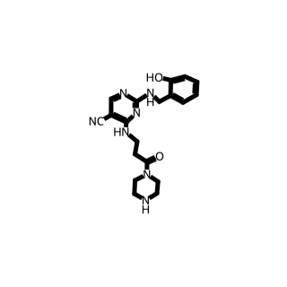 N#Cc1cnc(NCc2ccccc2O)nc1NCCC(=O)N1CCNCC1